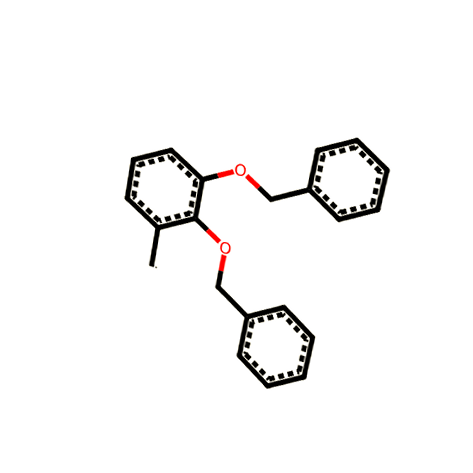 [CH2]c1cccc(OCc2ccccc2)c1OCc1ccccc1